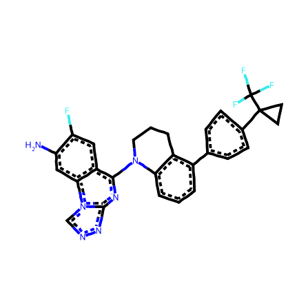 Nc1cc2c(cc1F)c(N1CCCc3c(-c4ccc(C5(C(F)(F)F)CC5)cc4)cccc31)nc1nncn12